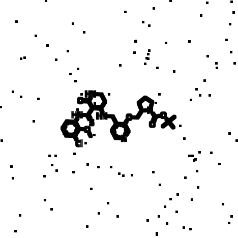 COc1c(Cl)cccc1NC(=S)C1=C(NCc2ccncc2OCC2CCCN2C(=O)OC(C)(C)C)CCNC1=O